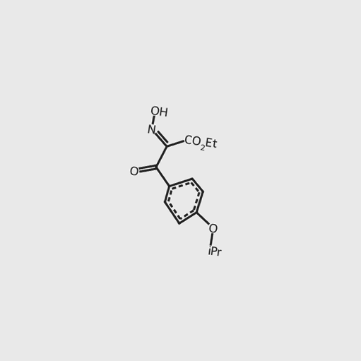 CCOC(=O)/C(=N\O)C(=O)c1ccc(OC(C)C)cc1